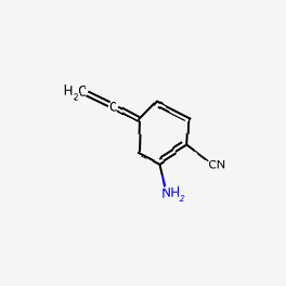 C=C=C1C=CC(C#N)=C(N)C1